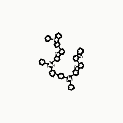 c1ccc(-c2nc(-c3cccc(-c4ccc(-c5nc(-c6ccccc6)nc(-c6ccc7c(c6)oc6c(-c8cccc9c8oc8ccccc89)cccc67)n5)cc4)c3)nc(-c3ccc4c(c3)oc3c(-c5ccc6c(c5)c5ccccc5n6-c5ccccc5)cccc34)n2)cc1